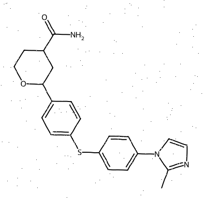 Cc1nccn1-c1ccc(Sc2ccc(C3CC(C(N)=O)CCO3)cc2)cc1